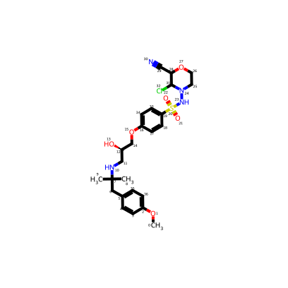 COc1ccc(CC(C)(C)NC[C@@H](O)COc2ccc(S(=O)(=O)NN3CCOC(C#N)C3Cl)cc2)cc1